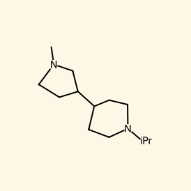 CC(C)N1CCC(C2CCN(C)C2)CC1